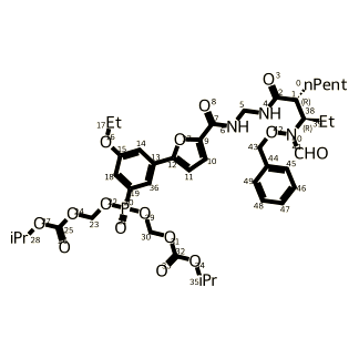 CCCCC[C@@H](C(=O)NCNC(=O)c1ccc(-c2cc(OCC)cc(P(=O)(OCOC(=O)OC(C)C)OCOC(=O)OC(C)C)c2)o1)[C@@H](CC)N(C=O)OCc1ccccc1